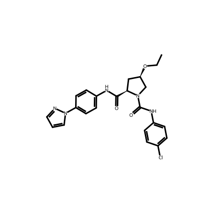 CCO[C@@H]1C[C@H](C(=O)Nc2ccc(-n3cccn3)cc2)N(C(=O)Nc2ccc(Cl)cc2)C1